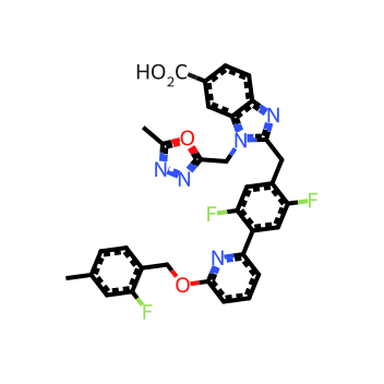 Cc1ccc(COc2cccc(-c3cc(F)c(Cc4nc5ccc(C(=O)O)cc5n4Cc4nnc(C)o4)cc3F)n2)c(F)c1